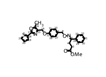 COC(=O)CC/C(=N\OCc1ccc(OCc2nc(-c3cccs3)oc2C)cc1)c1ccccc1